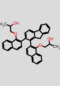 CC(O)COc1c(-c2ccc3c(c2-c2ccc4ccccc4c2OCC(C)O)Cc2ccccc2-3)ccc2ccccc12